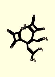 C=C/C(=C(\C=C(\C)N)c1c(O)c(=O)c1=O)c1c(O)c(=O)c1=O